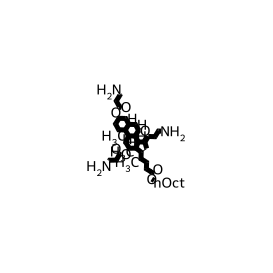 CCCCCCCCOC(=O)CC[C@@H](C)[C@H]1CC2=C(CCN)O[C@@H]3C[C@@H]4C[C@H](OC(=O)CCN)CC[C@]4(C)[C@H]4C[C@H](OC(=O)CCN)[C@@]1(C)[C@@H]2[C@H]34